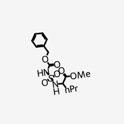 CCCC(NS(=O)(=O)NC(=O)OCc1ccccc1)C(=O)OC